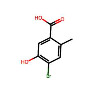 Cc1cc(Br)c(O)cc1C(=O)O